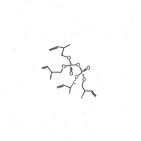 C=CC(C)COP(=O)(OCC(C)C=C)OP(=O)(OCC(C)C=C)OCC(C)C=C